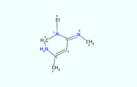 CCN(C)C(/C=C(/C)N)=N/C